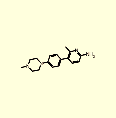 Cc1nc(N)ccc1-c1ccc(N2CCN(C)CC2)cc1